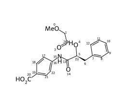 COC[PH](=O)O[C@@H](Cc1ccccc1)C(=O)Nc1ccc(C(=O)O)cc1